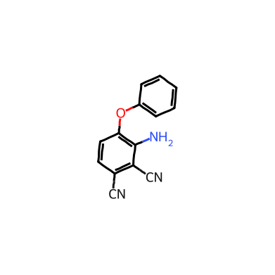 N#Cc1ccc(Oc2ccccc2)c(N)c1C#N